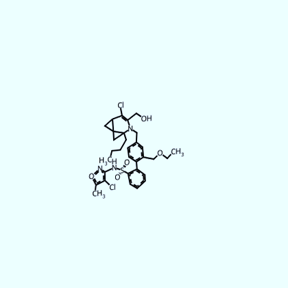 CCCCC12CC13CC3C(Cl)=C(CO)N2Cc1ccc(-c2ccccc2S(=O)(=O)Nc2noc(C)c2Cl)c(COCC)c1